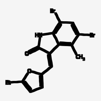 CCc1ccc(C=C2C(=O)Nc3c(Br)cc(Br)c(C)c32)o1